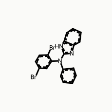 Brc1ccc(Br)c(N(c2ccccc2)c2nc3ccccc3[nH]2)c1